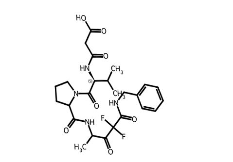 CC(NC(=O)C1CCCN1C(=O)[C@@H](NC(=O)CC(=O)O)C(C)C)C(=O)C(F)(F)C(=O)NCc1ccccc1